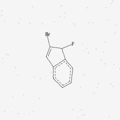 FC1C(Br)=Cc2ccccc21